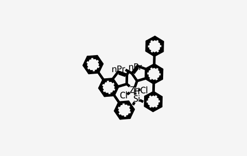 CCCC1=Cc2c(-c3ccccc3)ccc(-c3ccccc3)c2[CH]1[Zr]([Cl])([Cl])([CH]1C(CCC)=Cc2c(-c3ccccc3)ccc(-c3ccccc3)c21)[SiH](C)C